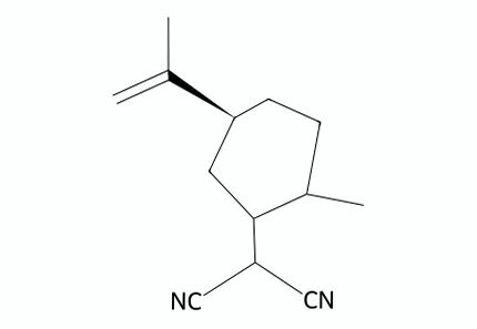 C=C(C)[C@H]1CCC(C)C(C(C#N)C#N)C1